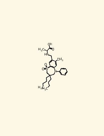 CCCCC1(CCCC)CN(c2ccccc2)c2cc(C)c(CN[C@@H](C)C(=O)O)cc2S(=O)(=O)C1